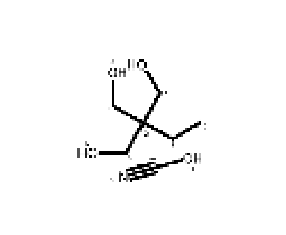 CCC(CO)(CO)CO.N#CO